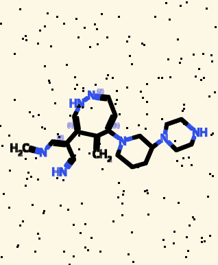 C=N/C=C(C=N)/C1=C/N/N=C\C=C(\N2CCCC(N3CCNCC3)C2)C1=C